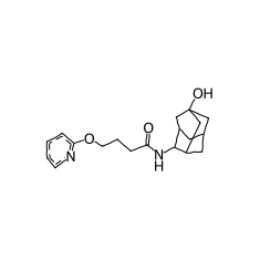 O=C(CCCOc1ccccn1)NC1C2CC3CC1CC(O)(C3)C2